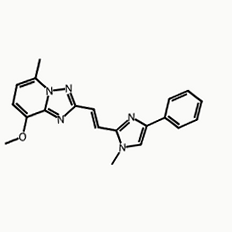 COc1ccc(C)n2nc(C=Cc3nc(-c4ccccc4)cn3C)nc12